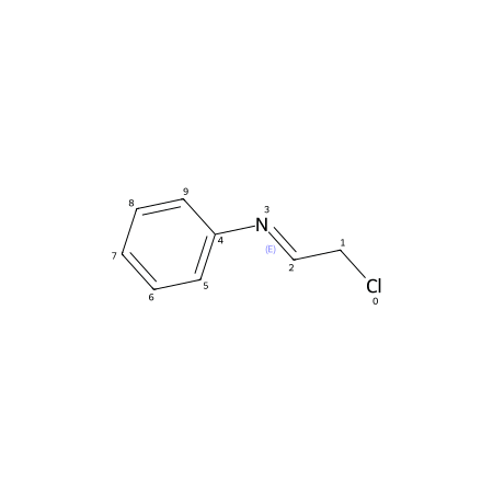 ClC/C=N/c1ccccc1